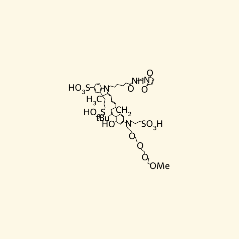 C=C(/C=C(\c1ccc(N(CCCS(=O)(=O)O)CCOCCOCCOCCOC)cc1O)C(C)(C)C)/C=C/C=C1/N(CCCCCC(=O)NCCN2C(=O)C=CC2=O)c2ccc(S(=O)(=O)O)cc2C1(C)CCCS(=O)(=O)O